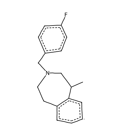 CC1CN(Cc2ccc(F)cc2)CCc2cc[c]cc21